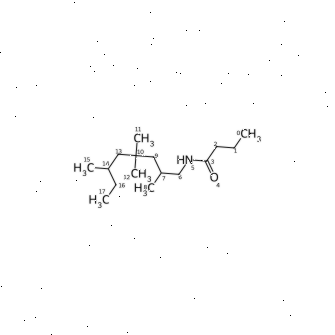 CCCC(=O)NCC(C)CC(C)(C)CC(C)CC